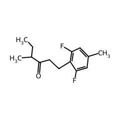 CCC(C)C(=O)CCc1c(F)cc(C)cc1F